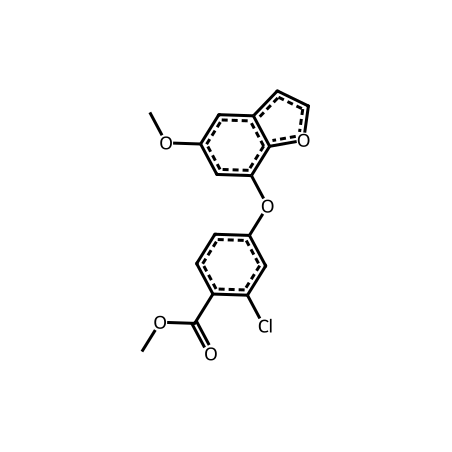 COC(=O)c1ccc(Oc2cc(OC)cc3ccoc23)cc1Cl